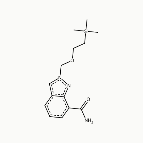 C[Si](C)(C)CCOCn1cc2cccc(C(N)=O)c2n1